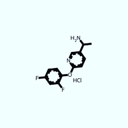 CC(N)c1ccc(Oc2ccc(F)cc2F)nc1.Cl